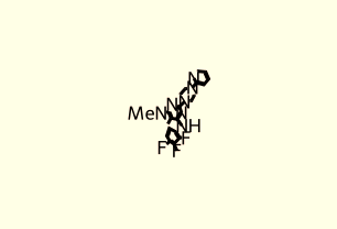 CNc1nc(N2CCN(c3ccccn3)CC2)nc(Nc2ccc(F)c(F)c2F)c1C